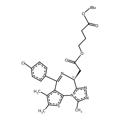 Cc1sc2c(c1C)C(c1ccc(Cl)cc1)=N[C@@H](CC(=O)OCCCC(=O)OC(C)(C)C)c1nnc(C)n1-2